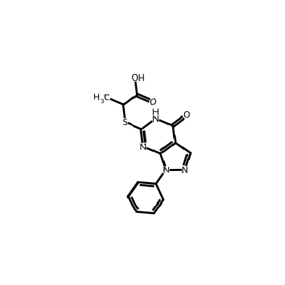 CC(Sc1nc2c(cnn2-c2ccccc2)c(=O)[nH]1)C(=O)O